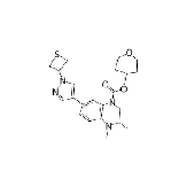 CC1CN(C(=O)OC2CCOCC2)c2cc(-c3cnn(C4CSC4)c3)ccc2N1C